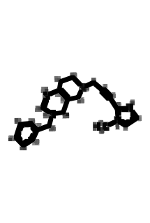 Cn1ccnc1C#CCN1CCC2=C(CN(Cc3ccccc3)C=N2)C1